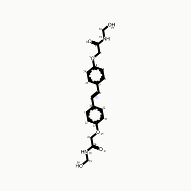 O=C(COc1ccc(/C=C/c2ccc(OCC(=O)NCO)cc2)cc1)NCO